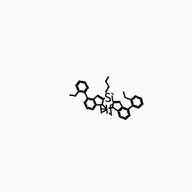 CCCC[Si]1(C)C2=Cc3c(-c4ccccc4CC)cccc3[CH]2[Hf]([CH3])([CH3])[CH]2C1=Cc1c(-c3ccccc3CC)cccc12